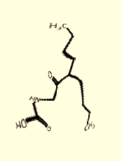 CCCCC(CCCC)C(=O)CNC(=O)O